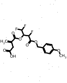 C=C(CC(=O)O)C(=O)OC(C(F)F)C(F)C(=O)OCc1ccc(OC)cc1